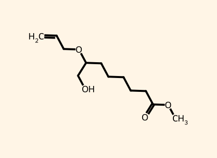 C=CCOC(CO)CCCCCC(=O)OC